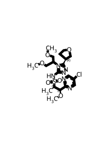 COCC(COC)n1c(NS(=O)(=O)[C@@H](C)[C@H](OC)c2ncc(Cl)cn2)nnc1[C@H]1CCOC1